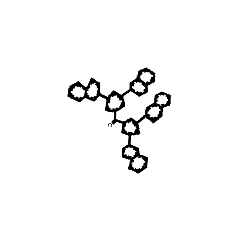 O=C(c1cc(-c2ccc3ccccc3c2)cc(-c2ccc3ccccc3c2)c1)c1cc(-c2ccc3ccccc3c2)cc(-c2ccc3ccccc3c2)c1